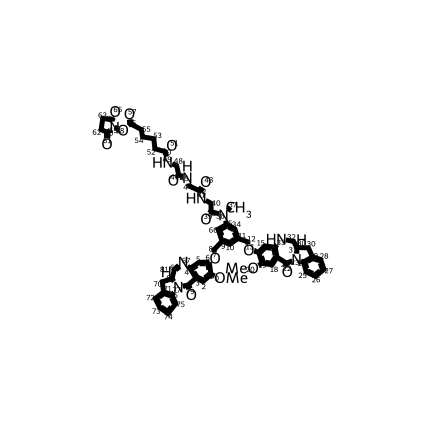 COc1cc2c(cc1OCc1cc(COc3cc4c(cc3OC)C(=O)N3c5ccccc5C[C@H]3CN4)cc(N(C)C(=O)CNC(=O)CNC(=O)CNC(=O)CCCCC(=O)ON3C(=O)CCC3=O)c1)N=C[C@@H]1Cc3ccccc3N1C2=O